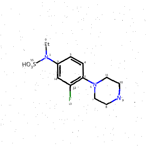 CCN(c1ccc(N2CC[N]CC2)c(F)c1)S(=O)(=O)O